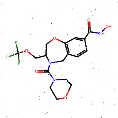 O=C(NO)c1ccc2c(c1)OCC(COC(F)(F)F)N(C(=O)N1CCOCC1)C2